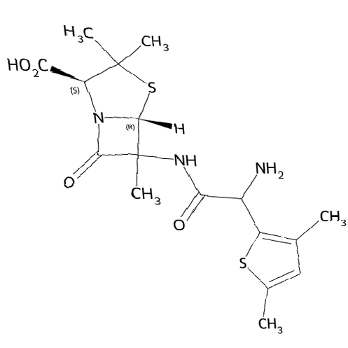 Cc1cc(C)c(C(N)C(=O)NC2(C)C(=O)N3[C@@H](C(=O)O)C(C)(C)S[C@@H]32)s1